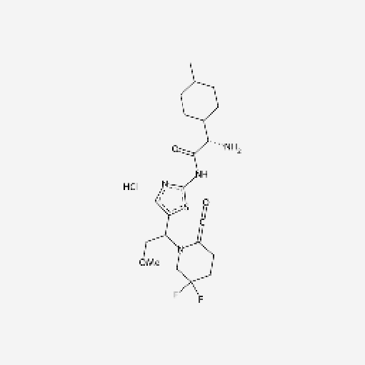 COCC(c1cnc(NC(=O)[C@@H](N)C2CCC(C)CC2)s1)N1CC(F)(F)CCC1=C=O.Cl